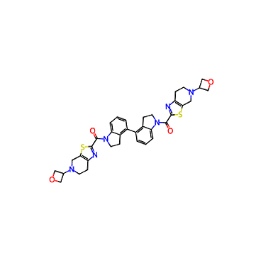 O=C(c1nc2c(s1)CN(C1COC1)CC2)N1CCc2c(-c3cccc4c3CCN4C(=O)c3nc4c(s3)CN(C3COC3)CC4)cccc21